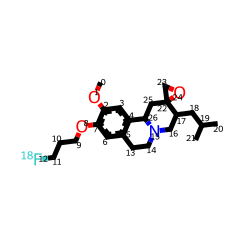 COc1cc2c(cc1OCCC[18F])CCN1CC(CC(C)C)C3(CO3)CC21